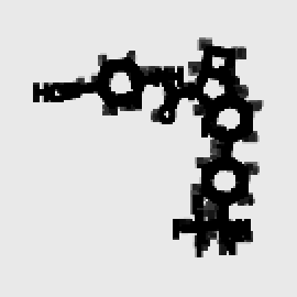 C#Cc1ccc(NC(=O)N2c3nc(-c4ccc(C5(C(F)(F)F)N=N5)cc4)ccc3N3CCC32)nc1